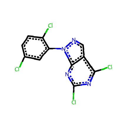 Clc1ccc(Cl)c(-n2ncc3c(Cl)nc(Cl)nc32)c1